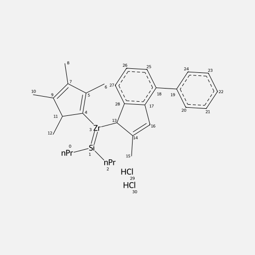 CCC[Si](CCC)=[Zr]([C]1=C(C)C(C)=C(C)C1C)[CH]1C(C)=Cc2c(-c3ccccc3)cccc21.Cl.Cl